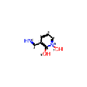 N=Cc1ccc[n+](O)c1O